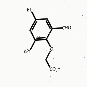 CCCc1cc(CC)cc(C=O)c1OCC(=O)O